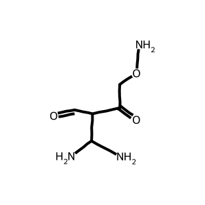 NOCC(=O)C([C]=O)C(N)N